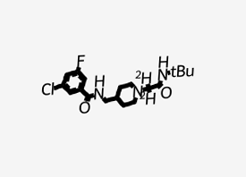 [2H]C([2H])(C(=O)NC(C)(C)C)N1CCC(CNC(=O)c2cc(F)cc(Cl)c2)CC1